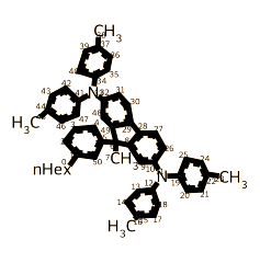 CCCCCCc1cccc(C2(C)c3cc(N(c4ccc(C)cc4)c4ccc(C)cc4)ccc3-c3ccc(N(c4ccc(C)cc4)c4ccc(C)cc4)cc32)c1